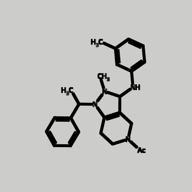 CC(=O)N1CCC2=C(C1)C(Nc1cccc(C)c1)N(C)N2C(C)c1ccccc1